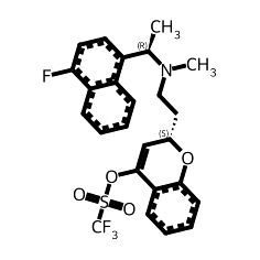 C[C@H](c1ccc(F)c2ccccc12)N(C)CC[C@H]1C=C(OS(=O)(=O)C(F)(F)F)c2ccccc2O1